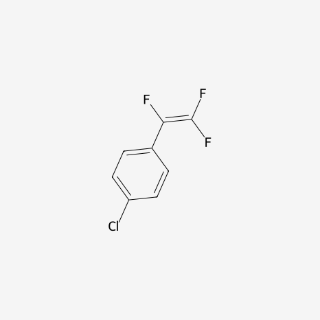 FC(F)=C(F)c1ccc(Cl)cc1